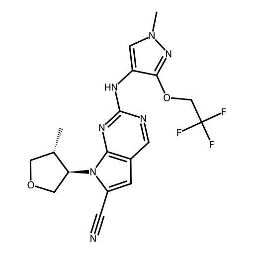 C[C@H]1COC[C@@H]1n1c(C#N)cc2cnc(Nc3cn(C)nc3OCC(F)(F)F)nc21